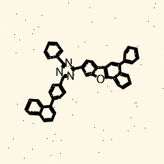 c1ccc(-c2nc(-c3ccc(-c4cccc5ccccc45)cc3)nc(-c3ccc4c(c3)oc3c5ccccc5c(-c5ccccc5)cc43)n2)cc1